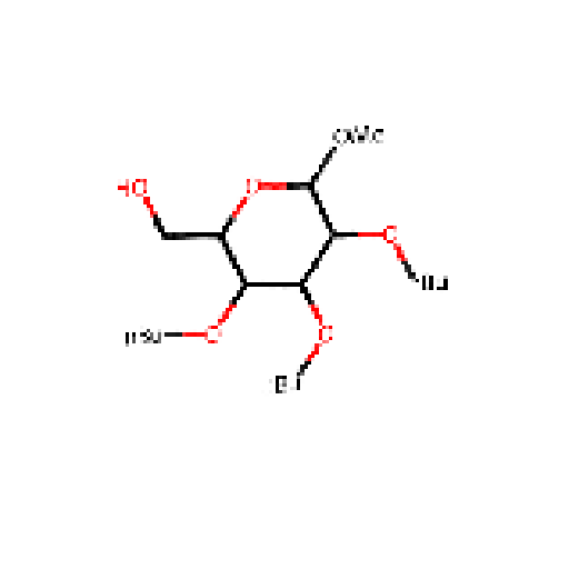 CCCCOC1C(CO)OC(OC)C(OCCCC)C1OCCCC